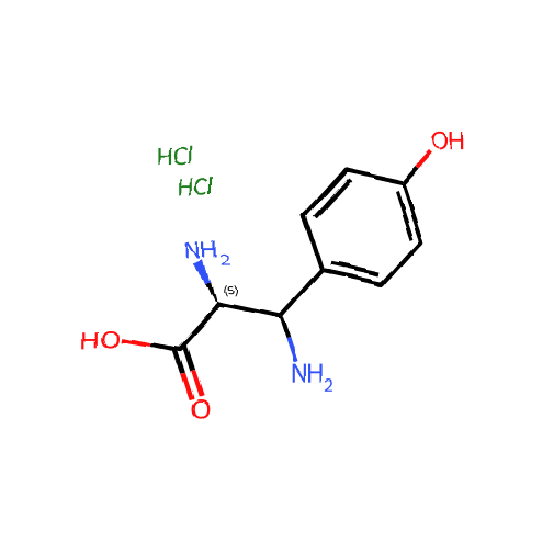 Cl.Cl.NC(c1ccc(O)cc1)[C@H](N)C(=O)O